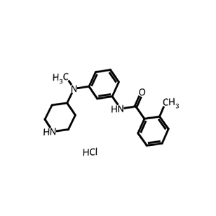 Cc1ccccc1C(=O)Nc1cccc(N(C)C2CCNCC2)c1.Cl